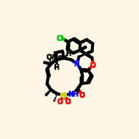 CO[C@@]1(C)/C=C/C[C@H](C)[C@@H](C)S(=O)(=O)NC(=O)c2ccc3c(c2)N(C[C@@H]2CC[C@H]21)C[C@@]1(CCCC2=CC(Cl)=CCC21C)CO3